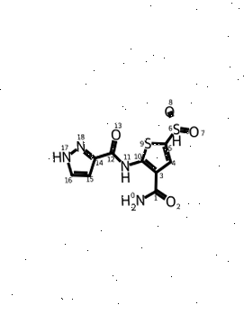 NC(=O)c1cc([SH](=O)=O)sc1NC(=O)c1cc[nH]n1